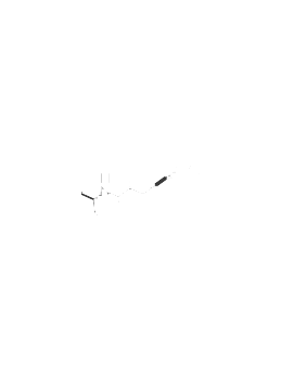 C=C(C)NCCCC#CCCCC